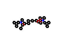 c1ccc(-c2cccc(N(c3ccc4c5ccccc5c5ccccc5c4c3)c3ccccc3-c3cccc(-c4cccc5c(-c6ccc(-c7ccc(-c8ccc(N(c9ccc%10c%11ccccc%11c%11ccccc%11c%10c9)c9ccccc9-c9cccc(-c%10cccc%11ccccc%10%11)c9)cc8)cc7)cc6)cccc45)c3)c2)cc1